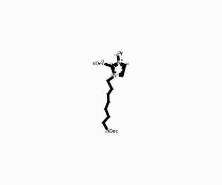 CCCCCCCCCCCCCCCCC[n+]1ccn(C(C)C)c1CCCCCCCCCC